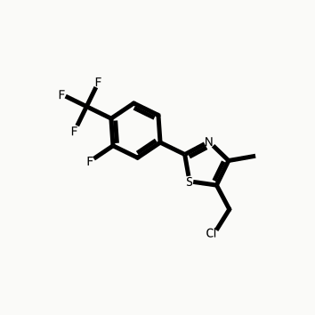 Cc1nc(-c2ccc(C(F)(F)F)c(F)c2)sc1CCl